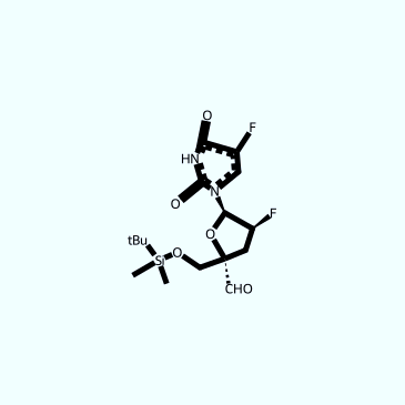 CC(C)(C)[Si](C)(C)OC[C@]1(C=O)C[C@H](F)[C@H](n2cc(F)c(=O)[nH]c2=O)O1